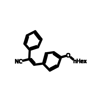 CCCCCCOc1ccc(C=C(C#N)c2ccccc2)cc1